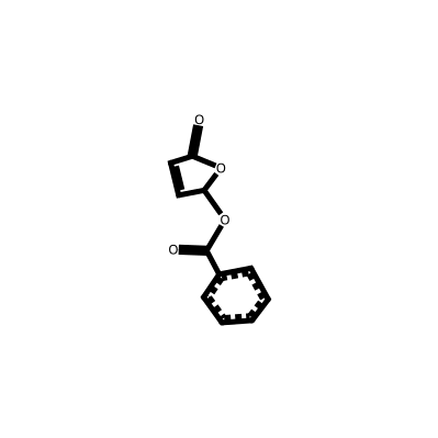 O=C1C=CC(OC(=O)c2ccccc2)O1